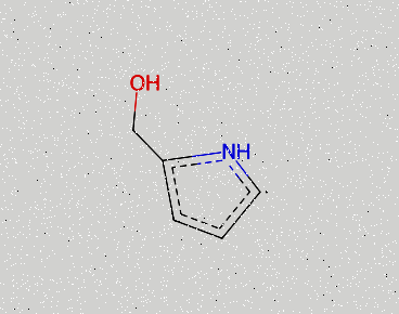 OCc1cc[c][nH]1